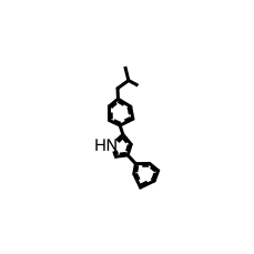 CC(C)Cc1ccc(-c2cc(-c3ccccc3)c[nH]2)cc1